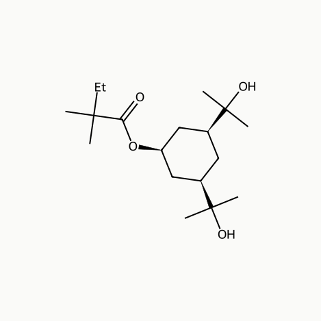 CCC(C)(C)C(=O)O[C@H]1C[C@@H](C(C)(C)O)C[C@@H](C(C)(C)O)C1